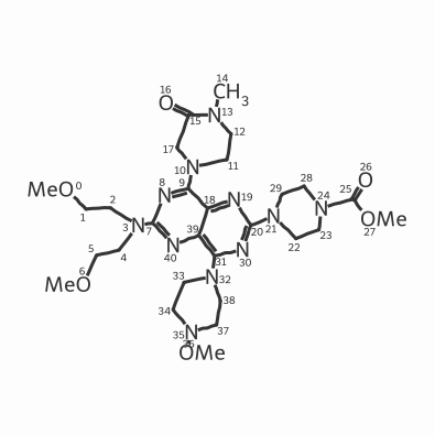 COCCN(CCOC)c1nc(N2CCN(C)C(=O)C2)c2nc(N3CCN(C(=O)OC)CC3)nc(N3CCN(OC)CC3)c2n1